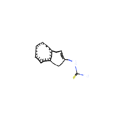 [NH]C(=S)NC1=Cc2ccccc2C1